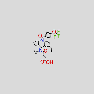 C=Cc1ccc2c(c1)C(N(C(=O)CCC(=O)O)C1CC1)C1CCCC1N2C(=O)c1ccc(OC(F)(F)F)cc1